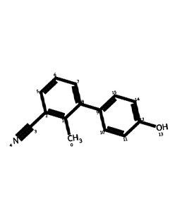 Cc1c(C#N)cccc1-c1ccc(O)cc1